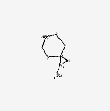 CC(C)(C)N1CC12CCNCC2